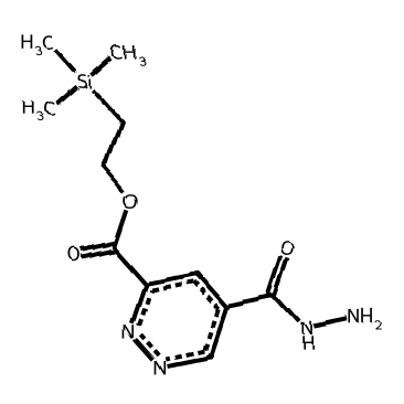 C[Si](C)(C)CCOC(=O)c1cc(C(=O)NN)cnn1